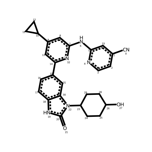 N#Cc1ccnc(Nc2cc(C3CC3)cc(-c3ccc4[nH]c(=O)n(C5CCC(O)CC5)c4c3)n2)c1